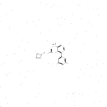 O=S1(=O)N=C(NCC2CCC2)Nc2c(-c3cc(F)cc(F)c3)cccc21